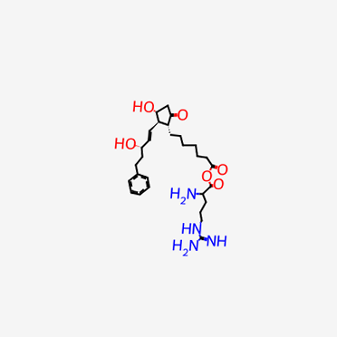 N=C(N)NCCCC(N)C(=O)OC(=O)CCCCCC[C@H]1C(=O)C[C@@H](O)[C@@H]1/C=C/[C@@H](O)CCc1ccccc1